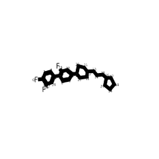 Fc1ccc(-c2ccc(C3CCC(CCCC4CCCC4)CC3)cc2F)cc1F